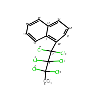 ClC(Cl)(Cl)C(Cl)(Cl)C(Cl)(Cl)C(Cl)(Cl)c1cccc2ccc[c]c12